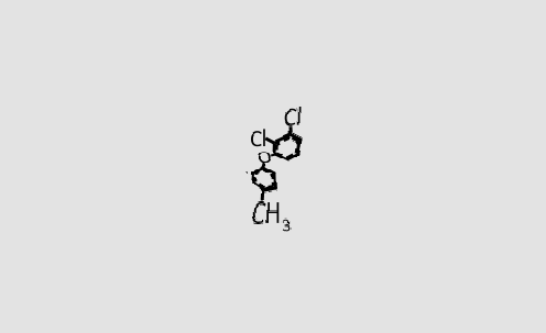 Cc1c[c]c(Oc2cccc(Cl)c2Cl)cc1